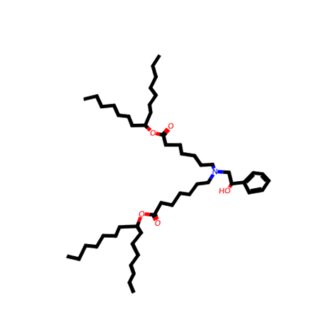 CCCCCCCC(CCCCCCC)OC(=O)CCCCCCN(CCCCCCC(=O)OC(CCCCCCC)CCCCCCC)CC(O)c1ccccc1